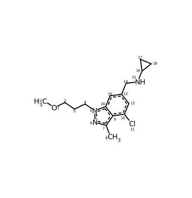 COCCCn1nc(C)c2c(Cl)cc(CNC3CC3)cc21